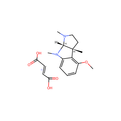 COc1cccc2c1[C@@]1(C)CCN(C)[C@H]1N2C.O=C(O)/C=C/C(=O)O